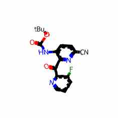 CC(C)(C)OC(=O)Nc1ccc(C#N)nc1C(=O)c1ncccc1F